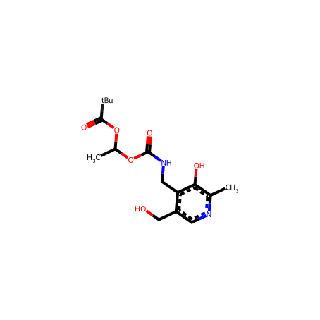 Cc1ncc(CO)c(CNC(=O)OC(C)OC(=O)C(C)(C)C)c1O